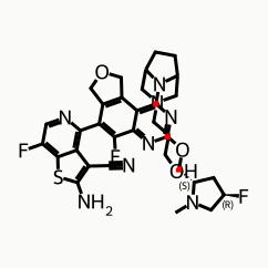 CN1C[C@H](F)C[C@H]1COc1nc(N2C3CCC2CN(CCCO)C3)c2c3c(c(-c4ncc(F)c5sc(N)c(C#N)c45)c(F)c2n1)COC3